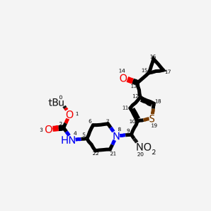 CC(C)(C)OC(=O)NC1CCN(C(c2cc(C(=O)C3CC3)cs2)[N+](=O)[O-])CC1